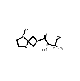 CC(=O)N1CCSC12CN(C(=O)[C@@H](N)[C@@H](C)O)C2